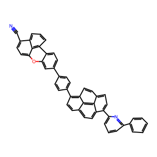 N#Cc1ccc2c3c(cccc13)-c1ccc(-c3ccc(-c4ccc5ccc6c(-c7cccc(-c8ccccc8)n7)ccc7ccc4c5c76)cc3)cc1O2